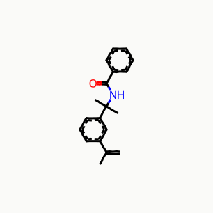 C=C(C)c1cccc(C(C)(C)NC(=O)c2ccccc2)c1